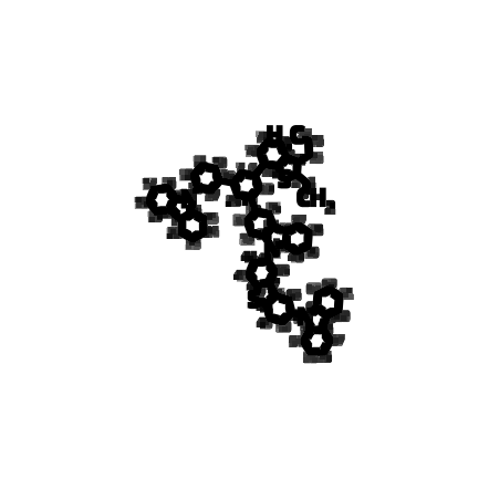 C=Cc1sc2c(-c3cc(-c4cccc(-n5c6ccccc6c6ccccc65)c4)cc(-c4ccc5c(c4)c4ccccc4n5-c4ccc5sc6ccc(-n7c8ccccc8c8ccccc87)cc6c5c4)c3)cccc2c1/C=C\C